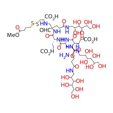 COC(=O)CCCSSC[C@@H](NC[C@@](C=O)(CCC(=O)NC[C@H](O)[C@@H](O)[C@H](O)[C@H](O)CO)NC(=O)[C@@H](CCC(=O)O)NC(=O)[C@H](CCC(=O)NC[C@H](O)[C@@H](O)[C@H](O)[C@H](O)CO)NC(=O)[C@@H](CCC(=O)O)NC(=O)[C@@H](N)CCC(=O)NC[C@H](O)[C@@H](O)[C@H](O)[C@H](O)CO)C(=O)O